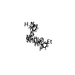 CCc1ccc(F)c(NC(=O)N2CCN(c3nsnc3OCc3ccnc(N)n3)CC2)c1